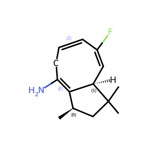 C[C@@H]1CC(C)(C)[C@@H]2C=C(F)/C=C\C/C(N)=C/12